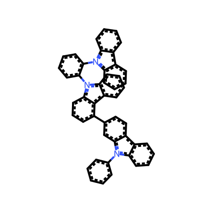 c1ccc(-n2c3ccccc3c3ccc(-c4cccc5c4c4ccccc4n5-c4ccccc4-n4c5ccccc5c5ccccc54)cc32)cc1